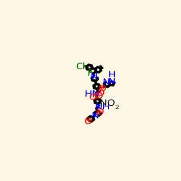 CC1(C)CCC(CN2CC=C(c3ccc(C(=O)NS(=O)(=O)c4ccc(NCC5CN(C6CCOCC6)CCO5)c([N+](=O)[O-])c4)c(Oc4cnc5[nH]ccc5c4)c3)CC2)=C(c2ccc(Cl)cc2F)C1